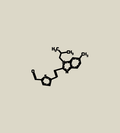 Cc1ccc2nc(/C=C/c3ccc(C=O)s3)n(CC(C)C)c2c1